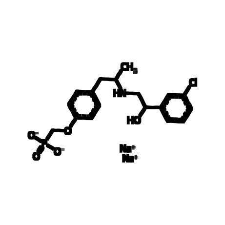 CC(Cc1ccc(OCP(=O)([O-])[O-])cc1)NCC(O)c1cccc(Cl)c1.[Na+].[Na+]